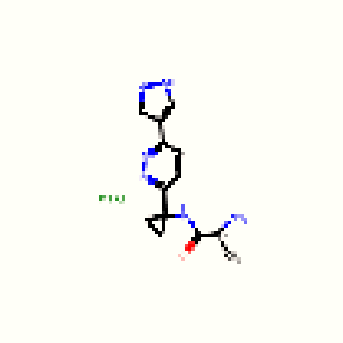 C[C@H](N)C(=O)NC1(c2ccc(-c3cn[nH]c3)nn2)CC1.Cl.Cl